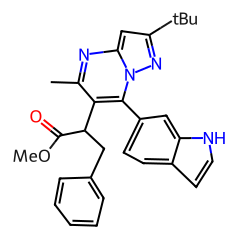 COC(=O)C(Cc1ccccc1)c1c(C)nc2cc(C(C)(C)C)nn2c1-c1ccc2cc[nH]c2c1